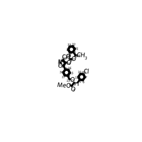 COC(=O)[C@H](Cc1ccc(Cl)cc1)OCc1ccc(-c2onc(C)c2OC(=O)O[C@H](C)c2ccccc2)cc1